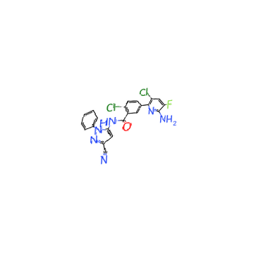 N#Cc1cc(NC(=O)c2cc(-c3nc(N)c(F)cc3Cl)ccc2Cl)n(-c2ccccc2)n1